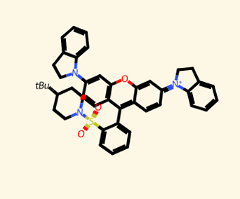 CC(C)(C)C1CCN(S(=O)(=O)c2ccccc2-c2c3cc/c(=[N+]4/CCc5ccccc54)cc-3oc3cc(N4CCc5ccccc54)ccc23)CC1